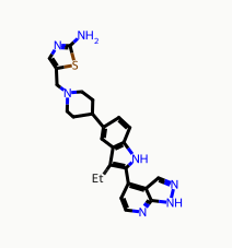 CCc1c(-c2ccnc3[nH]ncc23)[nH]c2ccc(C3CCN(Cc4cnc(N)s4)CC3)cc12